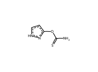 NC(=S)Oc1cc[nH]n1